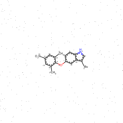 CCC(C)c1c[nH]c2ccc(Oc3c(C)cc([N+](=O)[O-])cc3C)cc12